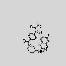 CCC(=O)Nc1ccc(C(=O)N2CCCC(Nc3ncc4cc(Cl)ccc4n3)C2)cc1